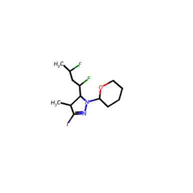 CC(F)CC(F)C1C(C)C(I)=NN1C1CCCCO1